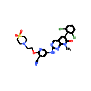 Cn1c(=O)c(-c2c(Cl)cccc2Cl)cc2cnc(Nc3cnc(OCCN4CCS(=O)(=O)CC4)c(C#N)c3)nc21